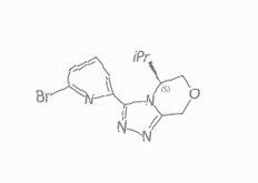 CC(C)[C@H]1COCc2nnc(-c3cccc(Br)n3)n21